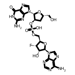 Nc1nc2c(ncn2[C@@H]2O[C@H](CO)C[C@H]2OP(=O)(O)OC[C@H]2O[C@@H](n3cnc4c(N)ncnc43)[C@H](O)[C@@H]2F)c(=O)[nH]1